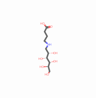 O=C(O)CCCNC[C@H](O)[C@@H](O)[C@H](O)[C@H](O)CO